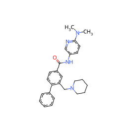 CN(C)c1ccc(NC(=O)c2ccc(-c3ccccc3)c(CN3CCCCC3)c2)cn1